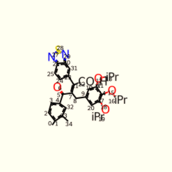 Cc1ccc(C(=O)/C(Cc2cc(OC(C)C)c(OC(C)C)c(OC(C)C)c2)=C(/C(=O)O)c2ccc3nsnc3c2)cc1C